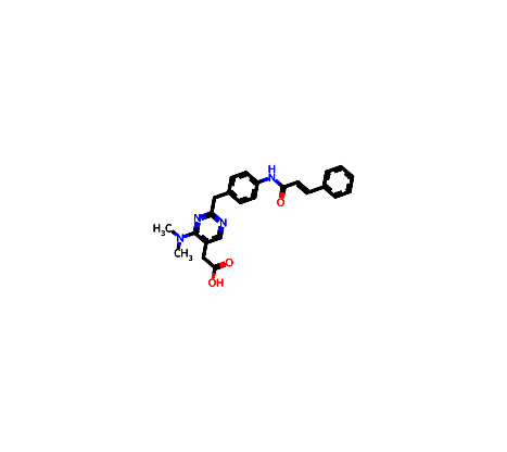 CN(C)c1nc(Cc2ccc(NC(=O)C=Cc3ccccc3)cc2)ncc1CC(=O)O